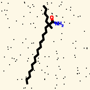 CCCCCCCCCCCCCCCCC(C)(CCCCC)C(N)=O